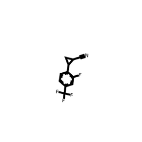 N#CC1CC1c1ccc(C(F)(F)F)cc1F